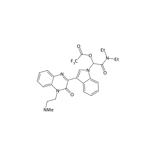 CCN(CC)C(=O)C(OC(=O)C(F)(F)F)n1cc(-c2nc3ccccc3n(CCNC)c2=O)c2ccccc21